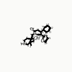 CC1(C)CNCCC1(O)Cn1cc(-c2ncco2)c(-c2ccccc2)cc1=O